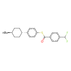 CCCC[C@H]1CC[C@H](c2ccc(SC(=O)c3ccc(C(F)F)cc3)cc2)CC1